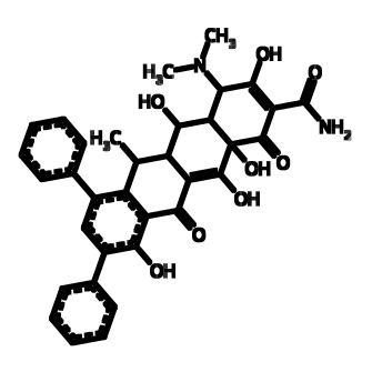 CC1c2c(-c3ccccc3)cc(-c3ccccc3)c(O)c2C(=O)C2=C(O)C3(O)C(=O)C(C(N)=O)=C(O)C(N(C)C)C3C(O)C21